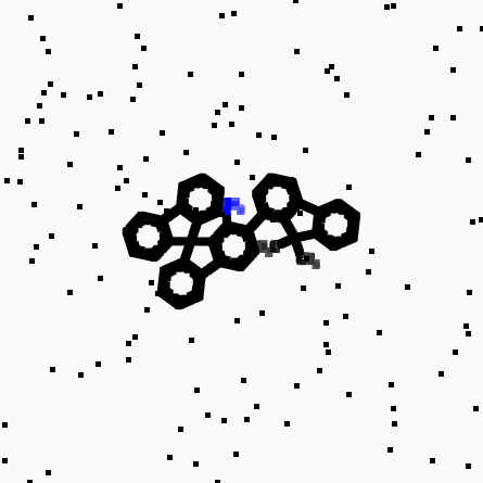 CC1(C)c2ccccc2-c2cccc(-c3ccc4c(c3N)C3(c5ccccc5-c5ccccc53)c3ccccc3-4)c21